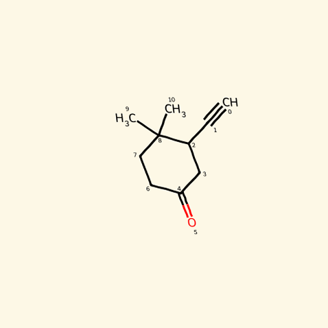 C#CC1CC(=O)CCC1(C)C